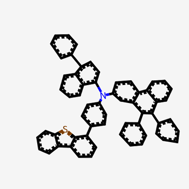 c1ccc(-c2ccc(N(c3ccc(-c4cccc5c4sc4ccccc45)cc3)c3ccc4c(c3)c(-c3ccccc3)c(-c3ccccc3)c3ccccc34)c3ccccc23)cc1